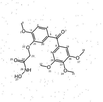 COc1ccc(C(=O)c2cc(OC)c(OC)c(OC)c2)cc1OCC(=O)NO